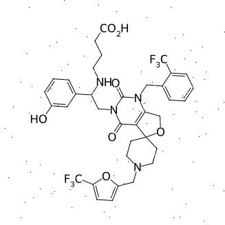 O=C(O)CCCNC(Cn1c(=O)c2c(n(Cc3ccccc3C(F)(F)F)c1=O)COC21CCN(Cc2ccc(C(F)(F)F)o2)CC1)c1cccc(O)c1